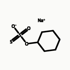 O=S([O-])(=S)OC1CCCCC1.[Na+]